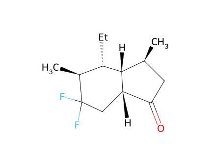 CC[C@@H]1[C@@H]2[C@@H](C)CC(=O)[C@@H]2CC(F)(F)[C@H]1C